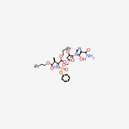 C=C(C(=O)OCCC(C)C)[C@H](NP(=O)(OC[C@@H]1CC(=O)[C@H](n2cnc(C(N)=O)c2O)O1)Oc1ccccc1)C(=O)OCCC(C)C